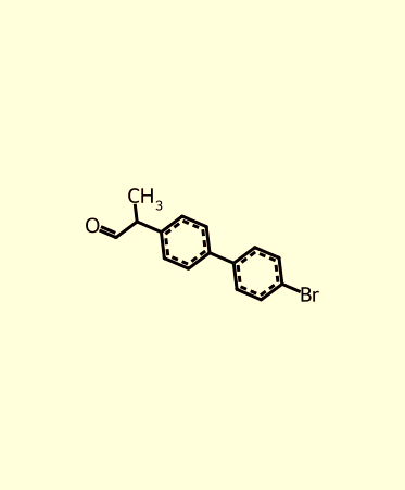 CC(C=O)c1ccc(-c2ccc(Br)cc2)cc1